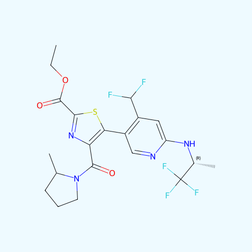 CCOC(=O)c1nc(C(=O)N2CCCC2C)c(-c2cnc(N[C@H](C)C(F)(F)F)cc2C(F)F)s1